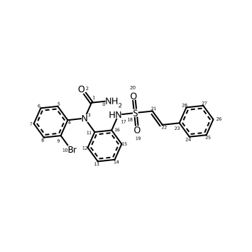 NC(=O)N(c1ccccc1Br)c1ccccc1NS(=O)(=O)C=Cc1ccccc1